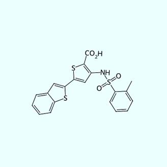 Cc1ccccc1S(=O)(=O)Nc1cc(-c2cc3ccccc3s2)sc1C(=O)O